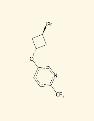 CC(C)[C@H]1C[C@H](Oc2ccc(C(F)(F)F)nc2)C1